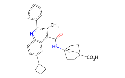 Cc1c(-c2ccccc2)nc2ccc(C3CCC3)cc2c1C(=O)NC12CCC(C(=O)O)(CC1)CC2